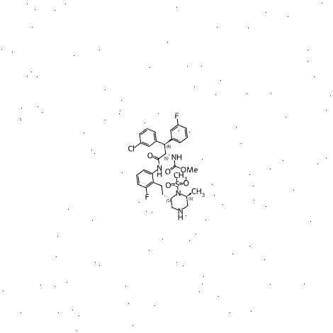 COC(=O)N[C@H](C(=O)Nc1cccc(F)c1CC[C@H]1CNC[C@H](C)N1S(C)(=O)=O)[C@H](c1cccc(F)c1)c1cccc(Cl)c1